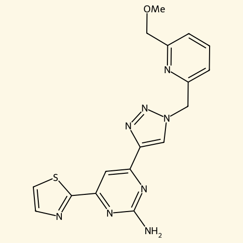 COCc1cccc(Cn2cc(-c3cc(-c4nccs4)nc(N)n3)nn2)n1